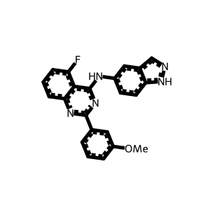 COc1cccc(-c2nc(Nc3ccc4[nH]ncc4c3)c3c(F)cccc3n2)c1